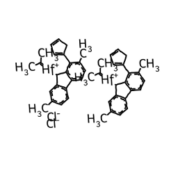 C[C](C)=[Hf+][CH]1c2cc(C)ccc2-c2ccc(C)c(C3=CC=CC3)c21.C[C](C)=[Hf+][CH]1c2cc(C)ccc2-c2ccc(C)c(C3=CC=CC3)c21.[Cl-].[Cl-]